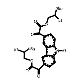 CCCCC(CC)COC(=O)C(=O)c1ccc2c(c1)c1cc(C(=O)C(=O)OCC(CC)CCCC)ccc1n2CC